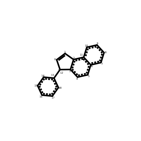 C1=Cc2c(ccc3ccccc23)[C]1c1ccccc1